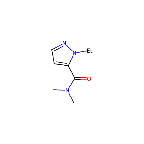 CCn1nccc1C(=O)N(C)C